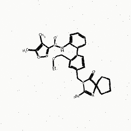 CCCCC1=NC2(CCCC2)C(=O)N1Cc1ccc(-c2ccccc2N[S+]([O-])c2noc(C)c2C)c(COCC)c1